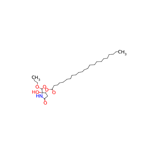 CCCCCCCCCCCCCCCCCCCCCCC(=O)OC1CC(=O)N[C@]1(O)C(=O)OCCC